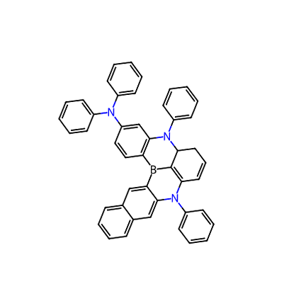 C1=CC2=C3B(c4cc5ccccc5cc4N2c2ccccc2)c2ccc(N(c4ccccc4)c4ccccc4)cc2N(c2ccccc2)C3C1